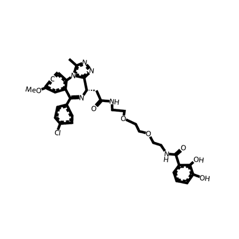 COc1ccc2c(c1)C(c1ccc(Cl)cc1)=N[C@@H](CC(=O)NCCOCCOCCNC(=O)c1cccc(O)c1O)c1nnc(C)n1-2